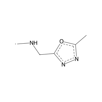 [CH2]NCc1nnc(C)o1